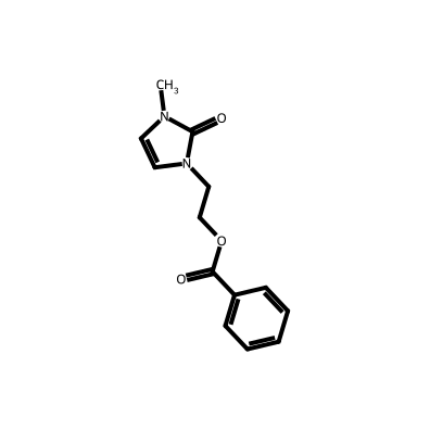 Cn1ccn(CCOC(=O)c2ccccc2)c1=O